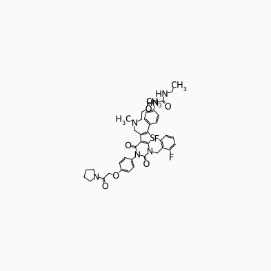 CCNC(=O)Nc1ccc(-c2sc3c(c2CN(C)CCOC)c(=O)n(-c2ccc(OCC(=O)N4CCCC4)cc2)c(=O)n3Cc2c(F)cccc2F)cc1